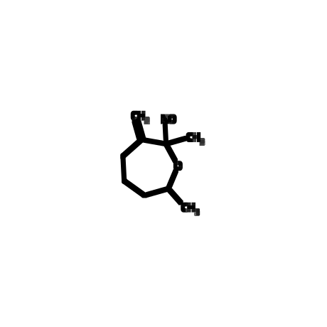 C=C1CCCC(C)OC1(C)N=O